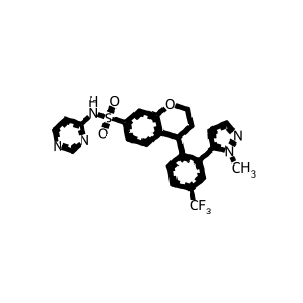 Cn1nccc1-c1cc(C(F)(F)F)ccc1C1CCOc2cc(S(=O)(=O)Nc3ccncn3)ccc21